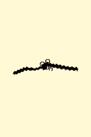 CCCCCCCCCCCCCCCCCC(=O)C(C)[N+](O)(CC)C(=O)CCCCCCCCCCCCCCCCC